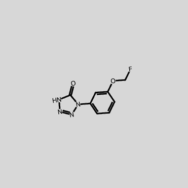 O=c1[nH]nnn1-c1cccc(OCF)c1